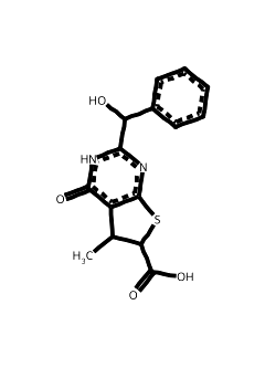 CC1c2c(nc(C(O)c3ccccc3)[nH]c2=O)SC1C(=O)O